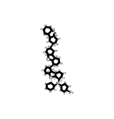 Fc1ccc(N(c2ccccc2)c2cccc3c2oc2cccc(-c4cccc5c4oc4ccc(-c6ccc7sc8ccccc8c7c6)cc45)c23)cc1